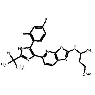 CCC(C)(C(=O)O)c1nc(-c2ccc3nc(NC(C)CCOC)oc3n2)c(-c2ccc(F)cc2F)[nH]1